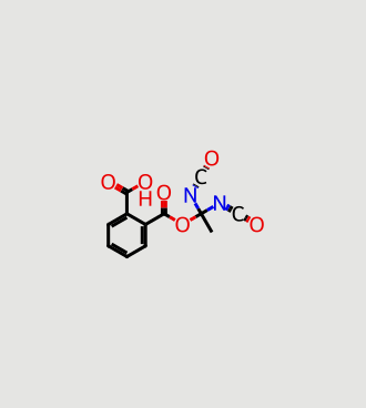 CC(N=C=O)(N=C=O)OC(=O)c1ccccc1C(=O)O